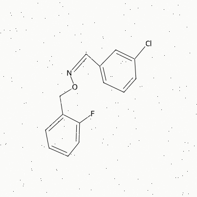 Fc1ccccc1CO/N=[C]\c1cccc(Cl)c1